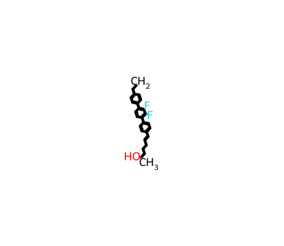 C=CCc1ccc(-c2ccc(-c3ccc(C=CCCCC(C)O)cc3)c(F)c2F)cc1